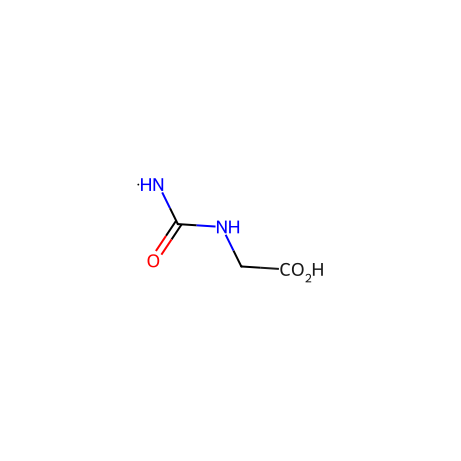 [NH]C(=O)NCC(=O)O